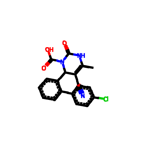 CC1=C(C#N)C(c2ccccc2-c2ccc(Cl)cc2)N(C(=O)O)C(=O)N1